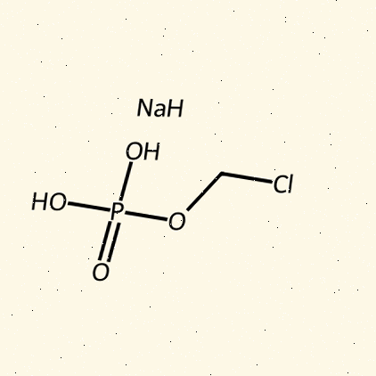 O=P(O)(O)OCCl.[NaH]